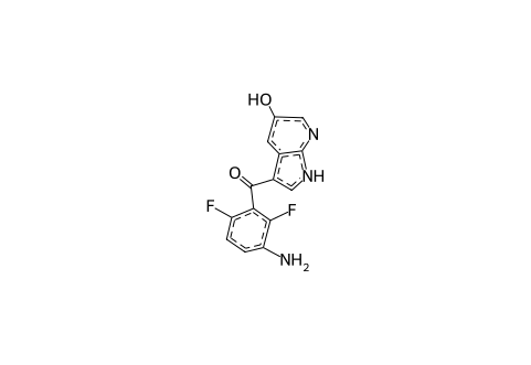 Nc1ccc(F)c(C(=O)c2c[nH]c3ncc(O)cc23)c1F